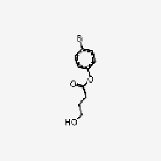 O=C(CCCO)Oc1ccc(Br)cc1